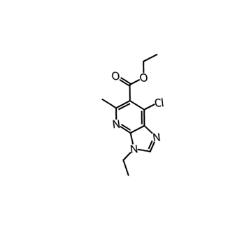 CCOC(=O)c1c(C)nc2c(ncn2CC)c1Cl